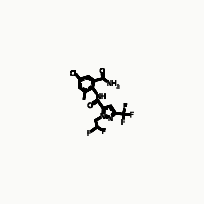 Cc1cc(Cl)cc(C(N)=O)c1NC(=O)c1cc(C(F)(F)F)nn1CC(F)F